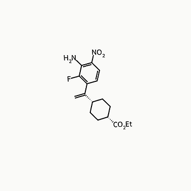 C=C(c1ccc([N+](=O)[O-])c(N)c1F)[C@H]1CC[C@@H](C(=O)OCC)CC1